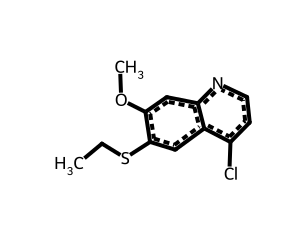 CCSc1cc2c(Cl)ccnc2cc1OC